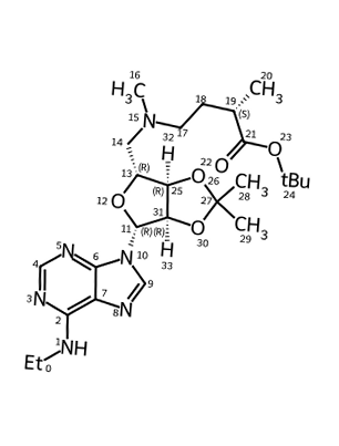 CCNc1ncnc2c1ncn2[C@@H]1O[C@H](CN(C)CC[C@H](C)C(=O)OC(C)(C)C)[C@H]2OC(C)(C)O[C@H]21